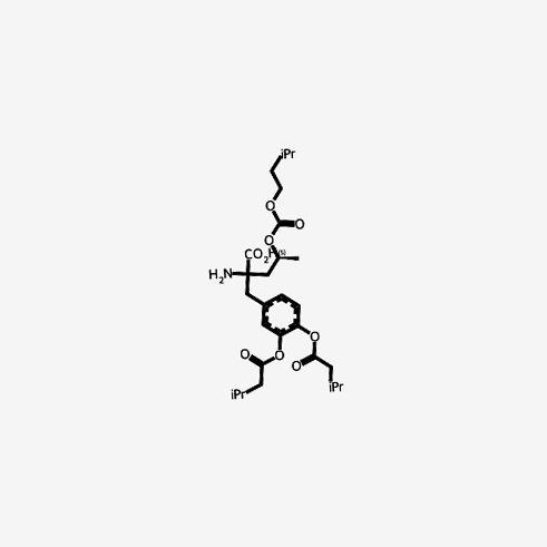 CC(C)CCOC(=O)O[C@@H](C)CC(N)(Cc1ccc(OC(=O)CC(C)C)c(OC(=O)CC(C)C)c1)C(=O)O